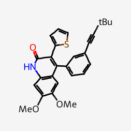 COc1cc2[nH]c(=O)c(-c3cccs3)c(-c3cccc(C#CC(C)(C)C)c3)c2cc1OC